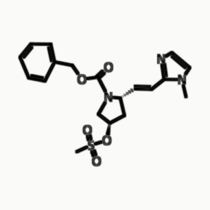 Cn1ccnc1C=C[C@@H]1C[C@@H](OS(C)(=O)=O)CN1C(=O)OCc1ccccc1